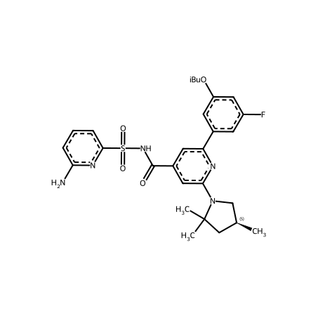 CC(C)COc1cc(F)cc(-c2cc(C(=O)NS(=O)(=O)c3cccc(N)n3)cc(N3C[C@@H](C)CC3(C)C)n2)c1